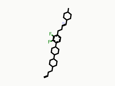 C=CCCC1CCC(C2CCC(c3ccc(CC/C=C/C4CCC(C)CC4)c(F)c3F)CC2)CC1